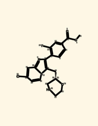 COC(=O)c1ccc(-c2nc3cc(Cl)ccn3c2C[C@H]2CNCCO2)c(F)c1